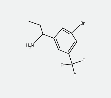 CCC(N)c1cc(Br)cc(C(F)(F)F)c1